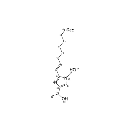 CCCCCCCCCCCCCCCC=Cc1nc(C(C)O)cn1C.Cl